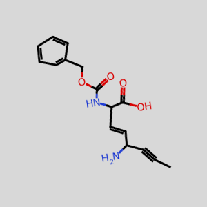 CC#CC(N)C=CC(NC(=O)OCc1ccccc1)C(=O)O